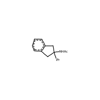 CC(=O)NC1(C(C)C)Cc2ccccc2C1